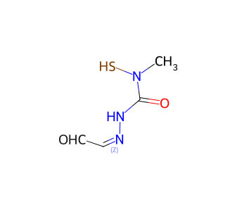 CN(S)C(=O)N/N=C\C=O